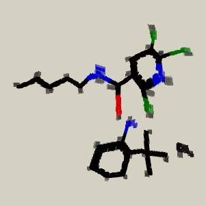 C.CC(C)(C)c1ccccc1N.CCCCCNC(=O)c1cc(Cl)c(Cl)nc1Cl